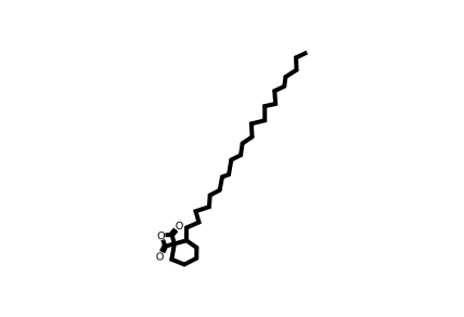 CCCCCCCCCCCCCCCCCCCCCCC1CCCCC12C(=O)OC2=O